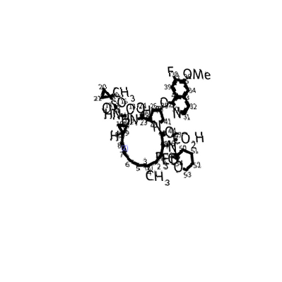 CC[C@@H]1C[C@H](C)CC/C=C\[C@@H]2C[C@@]2(C(=O)NS(=O)(=O)C2(C)CC2)NC(=O)[C@@H]2C[C@@H](Oc3nccc4cc(OC)c(F)cc34)CN2C(=O)[C@H]1N(C(=O)O)C1(C(F)(F)F)CCCCO1